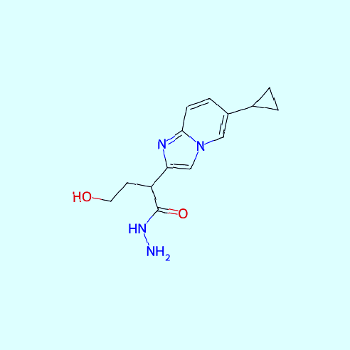 NNC(=O)C(CCO)c1cn2cc(C3CC3)ccc2n1